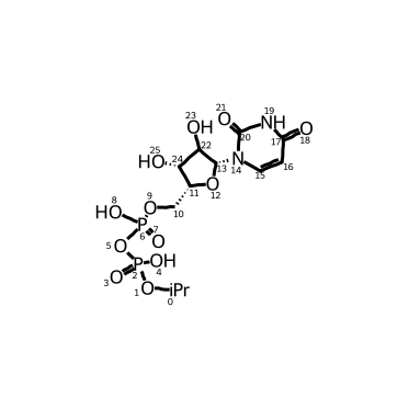 CC(C)OP(=O)(O)OP(=O)(O)OC[C@H]1O[C@@H](n2ccc(=O)[nH]c2=O)C(O)[C@H]1O